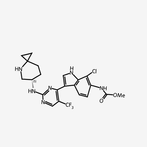 COC(=O)Nc1ccc2c(-c3nc(N[C@H]4CCC5(CC5)NC4)ncc3C(F)(F)F)c[nH]c2c1Cl